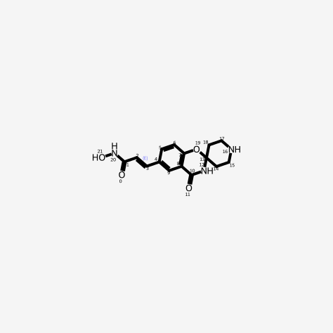 O=C(/C=C/c1ccc2c(c1)C(=O)NC1(CCNCC1)O2)NO